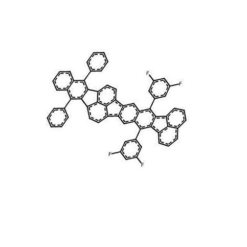 Fc1cc(F)cc(-c2c3cc4c(cc3c(-c3cc(F)cc(F)c3)c3c5cccc6cccc(c23)c65)c2ccc3c5c(ccc4c52)-c2c-3c(-c3ccccc3)c3ccccc3c2-c2ccccc2)c1